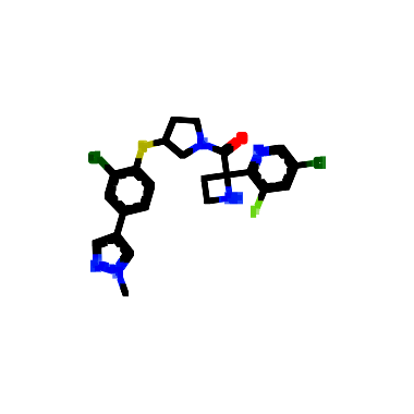 Cn1cc(-c2ccc(SC3CCN(C(=O)C4(c5ncc(Cl)cc5F)CCN4)C3)c(Cl)c2)cn1